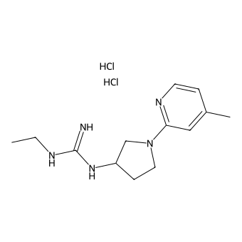 CCNC(=N)NC1CCN(c2cc(C)ccn2)C1.Cl.Cl